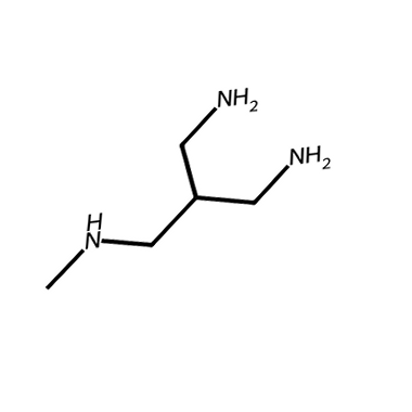 CNCC(CN)CN